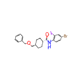 O=C(Nc1ccc(Br)cc1I)[C@H]1CC[C@H](COCc2ccccc2)CC1